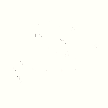 C=C(C)c1csc2ccnc(N(C(=O)c3ccc(-c4cn(C)nn4)cc3F)[C@@H]3CCCNC3)c12